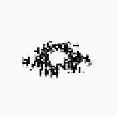 CCCC[C@@H]1N[C@@H](O)[C@H](CSC(C)(C)C)NC(=O)[C@H](CC(=O)O)NC(=O)CSC[C@@H](C(C)=O)N[C@H](O)[C@H](Cc2ccccc2)NC(=O)[C@H](CSC(C)(C)C)N[C@H](O)[C@H](CC(=O)O)NC(=O)CN[C@@H]1O